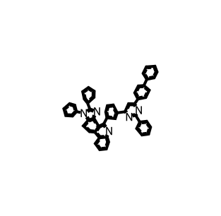 c1ccc(-c2ccc(-c3cc(-c4cccc(-c5nc6ccccc6c6ccc7c(nc(-c8ccccc8)n7-c7ccccc7)c56)c4)nc(-c4ccccc4)n3)cc2)cc1